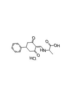 CC(NC=C1C(=O)CC(c2ccccc2)CC1=O)C(=O)O.Cl